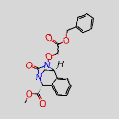 COC(=O)[C@H]1c2ccccc2[C@H]2CN1C(=O)N2OCC(=O)OCc1ccccc1